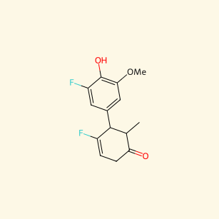 COc1cc(C2C(F)=CCC(=O)C2C)cc(F)c1O